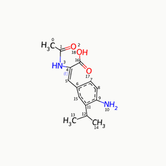 CC(=O)N/C(=C/c1ccc(N)c(C(C)C)c1)C(=O)O